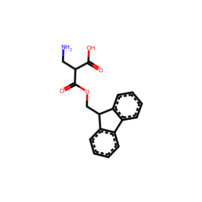 NCC(C(=O)O)C(=O)OCC1c2ccccc2-c2ccccc21